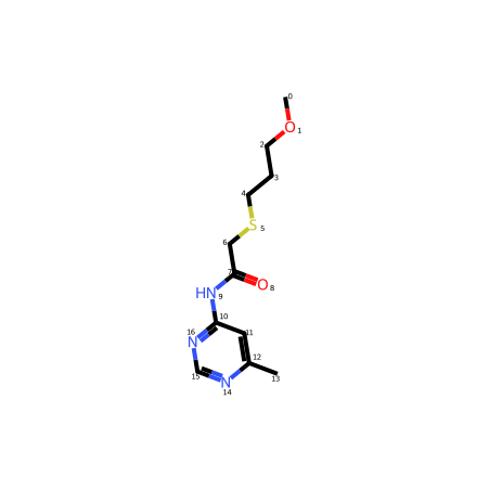 COCCCSCC(=O)Nc1cc(C)ncn1